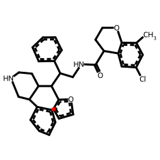 Cc1cc(Cl)cc2c1OCCC2C(=O)NCC(c1ccccc1)C(c1ccco1)C1CCNCC1c1ccccc1